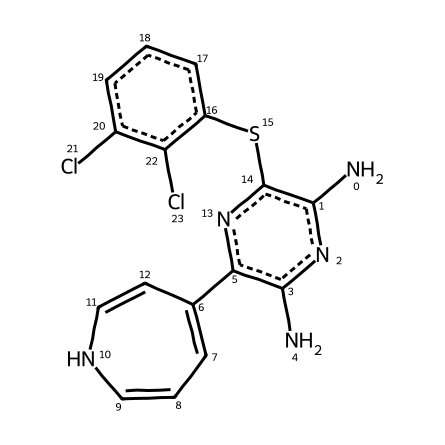 Nc1nc(N)c(C2=CC=CNC=C2)nc1Sc1cccc(Cl)c1Cl